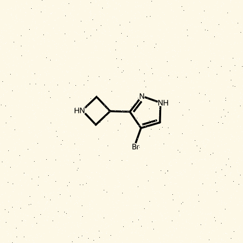 Brc1c[nH]nc1C1CNC1